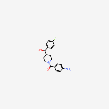 Nc1ccc(C(=O)N2CCC(C(O)c3ccc(F)cc3)CC2)cc1